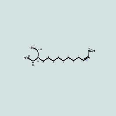 CCCCCCCC/C=C\CCCCCCCCP(OCCCC)OCCCC